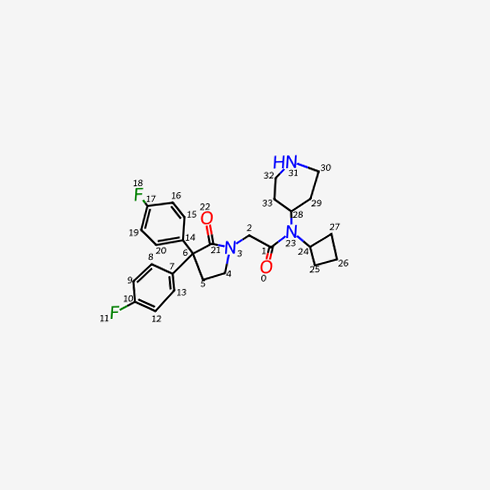 O=C(CN1CCC(c2ccc(F)cc2)(c2ccc(F)cc2)C1=O)N(C1CCC1)C1CCNCC1